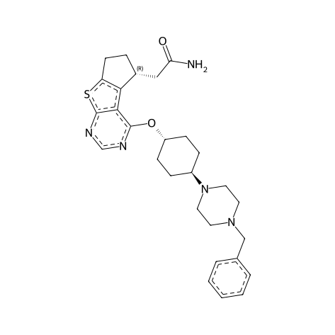 NC(=O)C[C@H]1CCc2sc3ncnc(O[C@H]4CC[C@H](N5CCN(Cc6ccccc6)CC5)CC4)c3c21